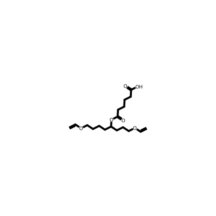 C=COCCCCC(CCCOC=C)OC(=O)CCCCC(=O)O